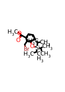 COC(=O)c1cccc(O[Si](C(C)C)(C(C)C)C(C)C)c1CBr